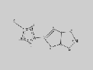 Cc1nnc(C2=CC3CNCC3C2)s1